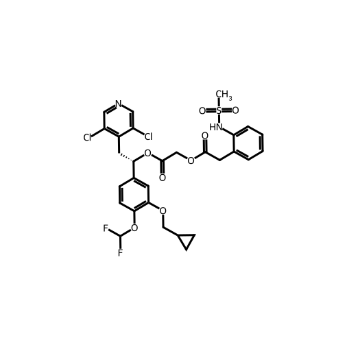 CS(=O)(=O)Nc1ccccc1CC(=O)OCC(=O)O[C@@H](Cc1c(Cl)cncc1Cl)c1ccc(OC(F)F)c(OCC2CC2)c1